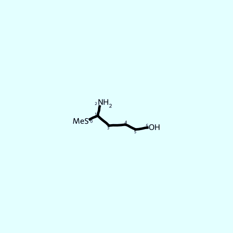 CSC(N)CCCO